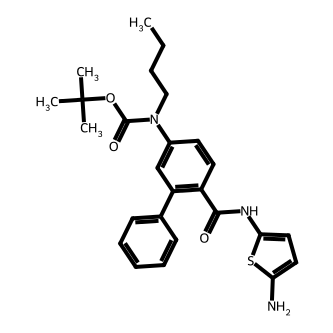 CCCCN(C(=O)OC(C)(C)C)c1ccc(C(=O)Nc2ccc(N)s2)c(-c2ccccc2)c1